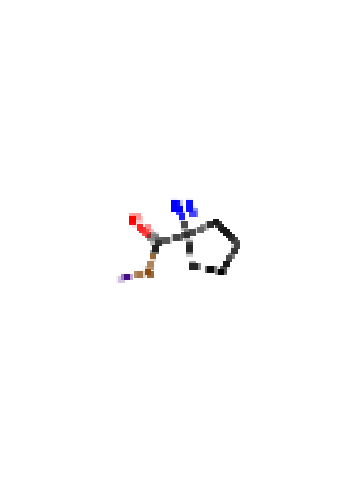 NC1(C(=O)SI)CCCC1